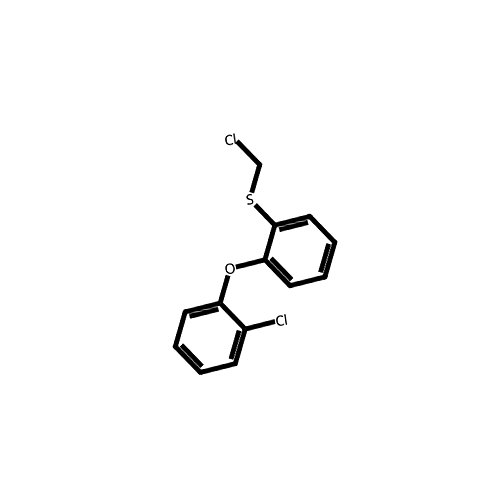 ClCSc1ccccc1Oc1ccccc1Cl